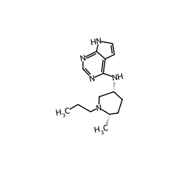 CCCN1C[C@H](Nc2ncnc3[nH]ccc23)CC[C@@H]1C